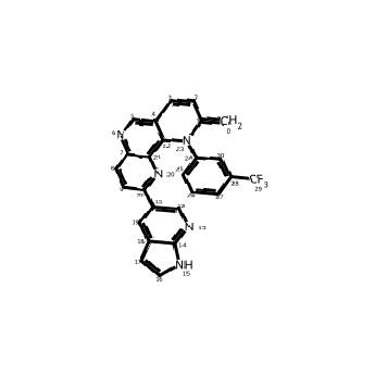 C=C1C=Cc2cnc3ccc(-c4cnc5[nH]ccc5c4)nc3c2N1c1cccc(C(F)(F)F)c1